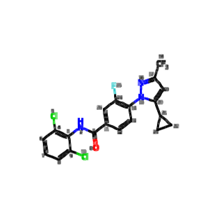 O=C(Nc1c(Cl)cccc1Cl)c1ccc(-n2nc(C(F)(F)F)cc2C2CC2)c(F)c1